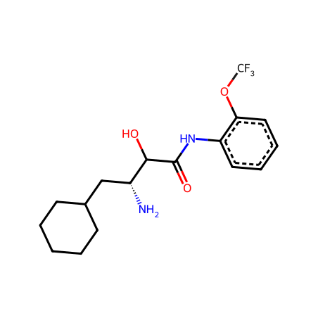 N[C@H](CC1CCCCC1)C(O)C(=O)Nc1ccccc1OC(F)(F)F